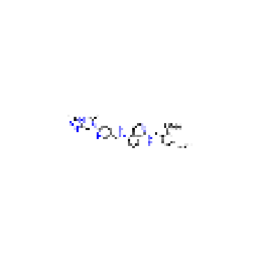 COc1ccc(CNc2nccc3c(NCc4ccc(N5Cc6nnc(C(F)(F)F)n6CC5C)nc4)cccc23)c(OC)c1